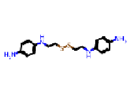 Nc1ccc(NCCSSCCNc2ccc(N)cc2)cc1